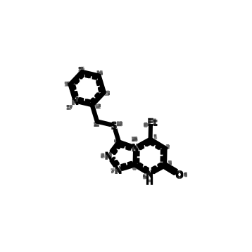 CCc1cc(=O)[nH]c2nnc(SCc3ccccn3)n12